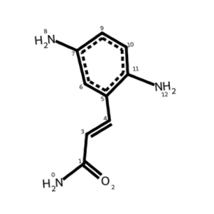 NC(=O)C=Cc1cc(N)ccc1N